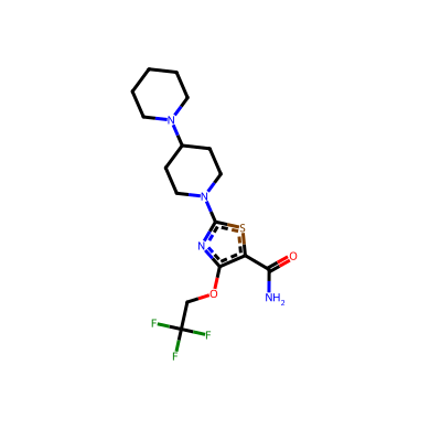 NC(=O)c1sc(N2CCC(N3CCCCC3)CC2)nc1OCC(F)(F)F